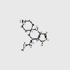 CO/N=C1\CC2(CCNCC2)Oc2ccsc21